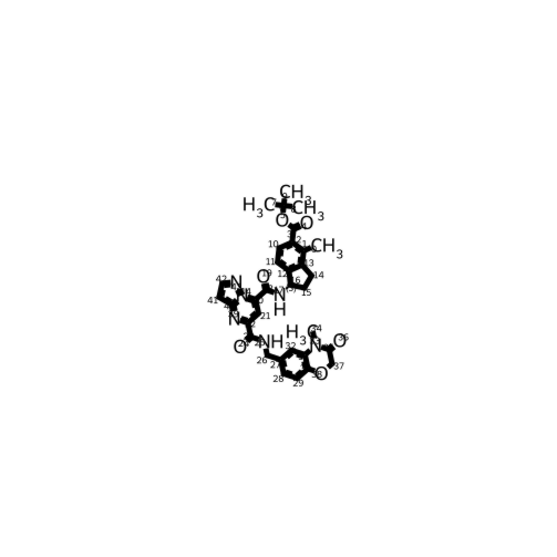 Cc1c(C(=O)OC(C)(C)C)ccc2c1CC[C@@H]2NC(=O)c1cc(C(=O)NCc2ccc3c(c2)N(C)C(=O)CO3)nc2ccnn12